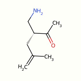 C=C(C)C[C@H](CN)C(C)=O